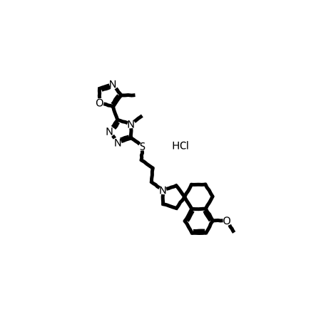 COc1cccc2c1CCCC21CCN(CCCSc2nnc(-c3ocnc3C)n2C)C1.Cl